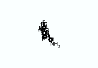 NC1CCC(C#CCN2C(=O)C(c3ccc(C(F)(F)F)cc3C(F)(F)F)CCc3cc(F)ccc32)CC1